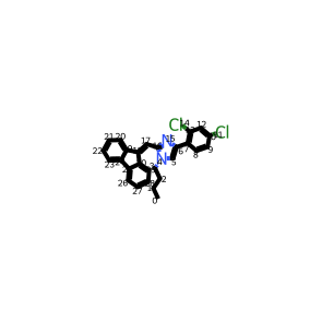 CCCCn1cc(-c2ccc(Cl)cc2Cl)nc1C=C1c2ccccc2-c2ccccc21